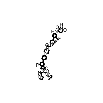 O=C1CCC(Nc2ccc(C3CCN(CC(=O)N4CCN(c5ccc(-c6cc(F)c7c(c6)C(=O)N(C(C(=O)Nc6nccs6)c6ncn8c6CCC8)C7)cc5)CC4)CC3)c(C(F)F)c2)C(=O)N1